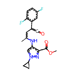 COC(=O)c1nn(C2CC2)cc1N/C(C)=C\C(=C=O)c1cc(F)ccc1F